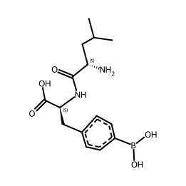 CC(C)C[C@H](N)C(=O)N[C@@H](Cc1ccc(B(O)O)cc1)C(=O)O